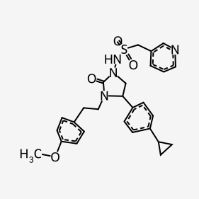 COc1ccc(CCN2C(=O)N(NS(=O)(=O)Cc3cccnc3)CC2c2ccc(C3CC3)cc2)cc1